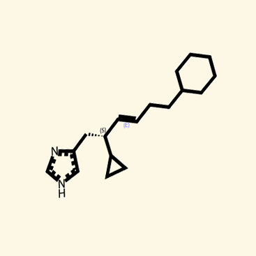 C(=C\[C@@H](Cc1c[nH]cn1)C1CC1)/CCC1CCCCC1